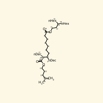 CCCCCCCCCCC(CCCCCCC(=O)OCCC(CCCCCC)CCCCCC)N(CCCCCCCCCC)C(=O)OCCCN(C)C